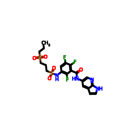 CCCS(=O)(=O)CCCS(=O)(=O)Nc1cc(F)c(F)c(C(=O)Nc2cnc3[nH]ccc3c2)c1F